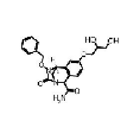 NC(=O)C1c2ccc(OCC(O)CO)cc2[C@H]2CN1C(=O)N2OCc1ccccc1